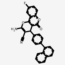 N#CC1=C(N)Oc2c(c(=O)oc3ccc(F)cc23)C1c1ccc(-c2cccc3ccccc23)cc1